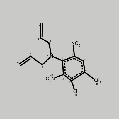 C=CCN(CC=C)c1c([N+](=O)[O-])cc(C(F)(F)F)c(Cl)c1[N+](=O)[O-]